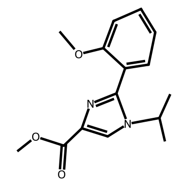 COC(=O)c1cn(C(C)C)c(-c2ccccc2OC)n1